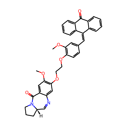 COc1cc(C=C2c3ccccc3C(=O)c3ccccc32)ccc1OCCOc1cc2c(cc1OC)C(=O)N1CCC[C@H]1C=N2